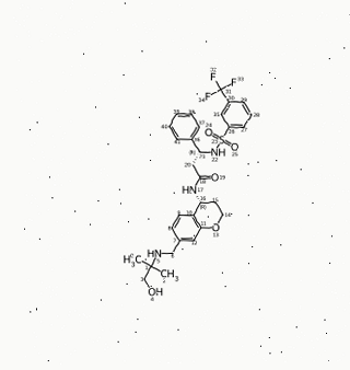 CC(C)(CO)NCc1ccc2c(c1)OCC[C@H]2NC(=O)C[C@@H](NS(=O)(=O)c1cccc(C(F)(F)F)c1)c1ccccc1